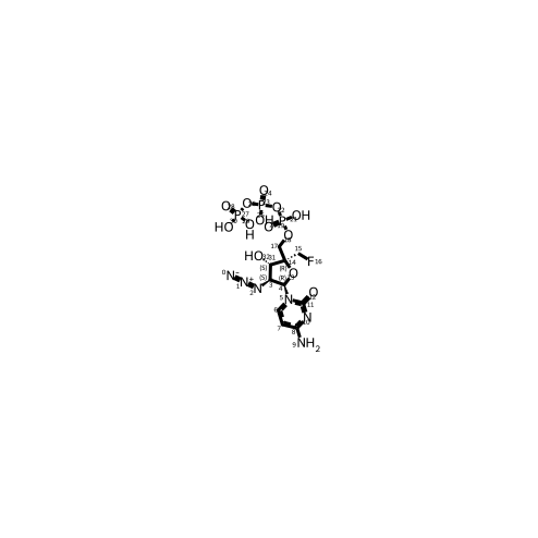 [N-]=[N+]=N[C@@H]1[C@H](n2ccc(N)nc2=O)O[C@](CF)(COP(=O)(O)OP(=O)(O)OP(=O)(O)O)[C@H]1O